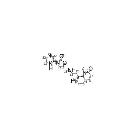 Cn1c(=O)ccc2ccc(F)c(CCNC[C@@H]3CN(C4=CN=CCN4)C(=O)O3)c21